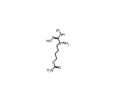 CC(C)NC(=NO)[C@@H](N)CCCCOC(N)=O